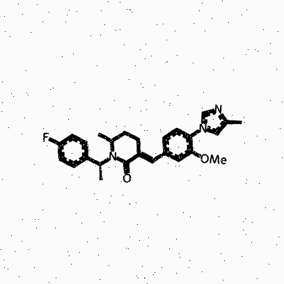 COc1cc(/C=C2\CCC(C)N([C@@H](C)c3ccc(F)cc3)C2=O)ccc1-n1cnc(C)c1